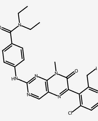 CCN(CC)C(=O)c1ccc(Nc2ncc3nc(-c4c(Cl)cccc4CI)c(=O)n(C)c3n2)cc1